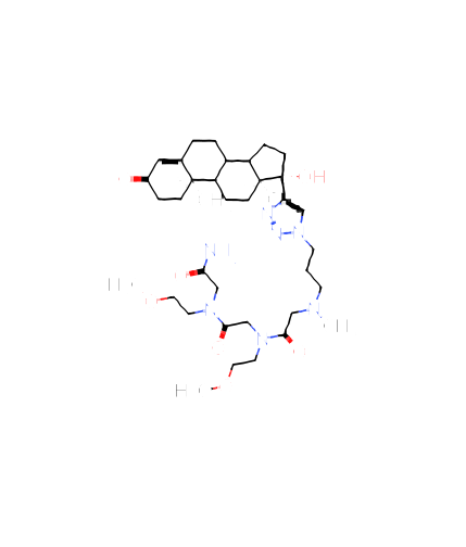 COCCN(CC(N)=O)C(=O)CN(CCOC)C(=O)CN(C)CCCn1cc([C@]2(O)CCC3C4CCC5=CC(=O)CC[C@]5(C)C4CC[C@@]32C)nn1